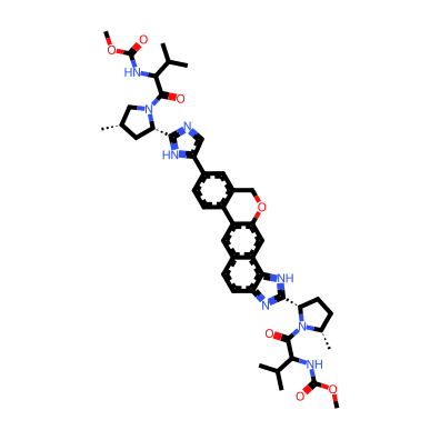 COC(=O)NC(C(=O)N1C[C@@H](C)C[C@H]1c1ncc(-c2ccc3c(c2)COc2cc4c(ccc5nc([C@@H]6CC[C@H](C)N6C(=O)C(NC(=O)OC)C(C)C)[nH]c54)cc2-3)[nH]1)C(C)C